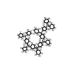 c1ccc(C(c2ccccc2)c2ccc(N(c3ccccc3)c3ccc(N(c4ccccc4)c4ccc(N(c5ccccc5)c5ccc(C(c6ccccc6)c6ccc(N(c7ccccc7)c7ccccc7)cc6)cc5)cc4)cc3)cc2)cc1